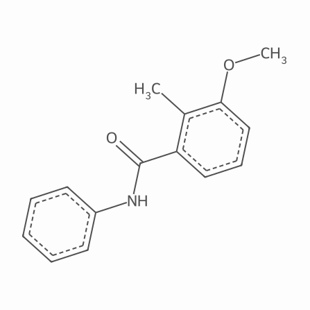 COc1cccc(C(=O)Nc2ccccc2)c1C